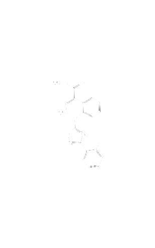 CO/C=C(/C(=O)OC)c1ccccc1Oc1nc(-c2ccccc2F)no1